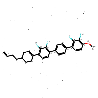 C=CCCC1CC=C(c2ccc(-c3ccc(-c4ccc(OCCC)c(F)c4F)cc3)c(F)c2F)CC1